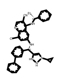 CC[C@@H](Nc1c(C#N)cnc2c(Cl)cc(N[C@H](C3=CN(C4CC4)NN3)c3cccc(-c4ccccc4)c3)cc12)c1ccccc1